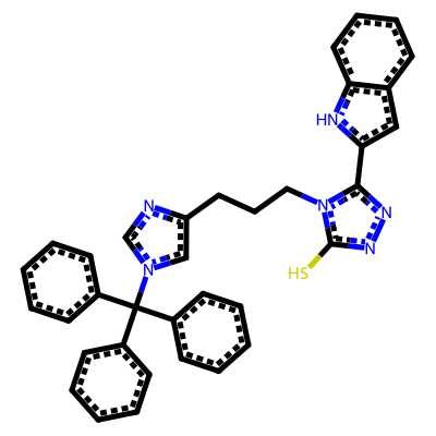 Sc1nnc(-c2cc3ccccc3[nH]2)n1CCCc1cn(C(c2ccccc2)(c2ccccc2)c2ccccc2)cn1